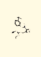 CCN/C(=N\C#N)NCc1nonc1/C(=N/O)Nc1cccc(C(F)(F)F)c1